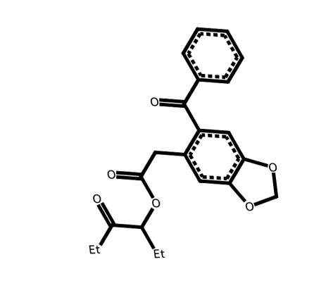 CCC(=O)C(CC)OC(=O)Cc1cc2c(cc1C(=O)c1ccccc1)OCO2